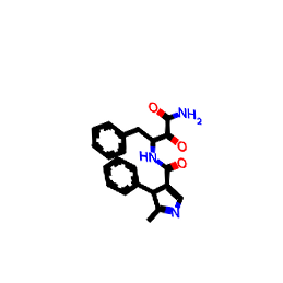 CC1=NC=C(C(=O)NC(Cc2ccccc2)C(=O)C(N)=O)C1c1ccccc1